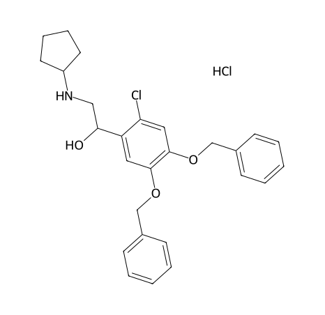 Cl.OC(CNC1CCCC1)c1cc(OCc2ccccc2)c(OCc2ccccc2)cc1Cl